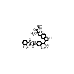 CCCNC(=O)C(C)(C)Cc1ccc2[nH]cc(C(CCC)c3ccc(C(=O)NS(=O)(=O)c4ccccc4C)cc3OC)c2c1